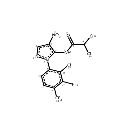 O=C(Nc1c([N+](=O)[O-])cnn1-c1ccc(C(F)(F)F)c(F)c1Cl)C(Cl)Cl